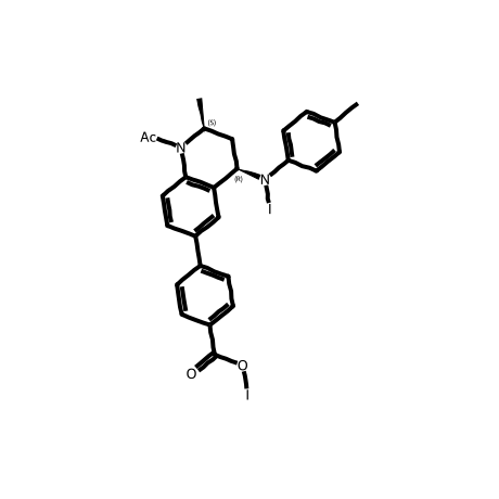 CC(=O)N1c2ccc(-c3ccc(C(=O)OI)cc3)cc2[C@H](N(I)c2ccc(C)cc2)C[C@@H]1C